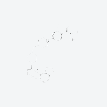 CN(C)C(=O)c1ccc(N2CCC(CC3CCN(C(=O)[C@](O)(c4cccc5c4CCC5)C(F)(F)F)CC3)CC2)cc1Cl